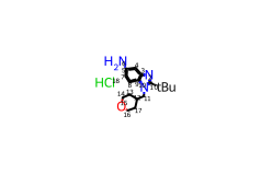 CC(C)(C)c1nc2cc(N)ccc2n1CC1CCOCC1.Cl